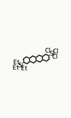 CC[Si](CC)(CC)c1ccc2cc3cc4cc([Si](Cl)(Cl)Cl)ccc4cc3cc2c1